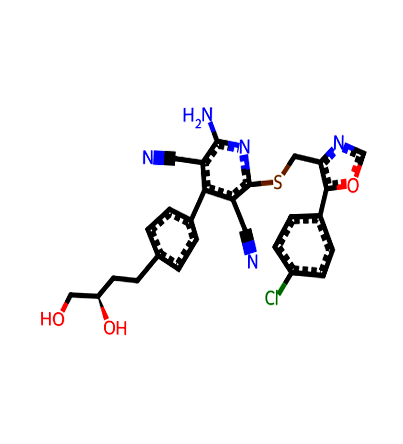 N#Cc1c(N)nc(SCc2ncoc2-c2ccc(Cl)cc2)c(C#N)c1-c1ccc(CC[C@@H](O)CO)cc1